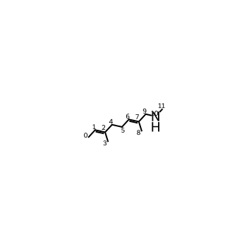 C/C=C(\C)CC/C=C(\C)CNC